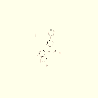 Cc1ccc([C@H](OC(=O)C(C)(C)C)c2ccc(-c3ccccc3C(=O)O)cc2)n2cc(C3CC3)nc12